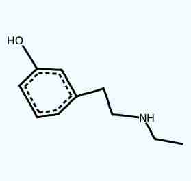 CCNCCc1cccc(O)c1